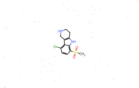 CS(=O)(=O)c1ccc(Cl)c2c3c([nH]c12)CCNC3